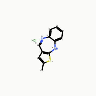 Cc1cc2c(s1)Nc1ccccc1N=C2.Cl